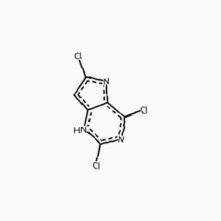 Clc1cc2[nH]c(Cl)nc(Cl)c-2n1